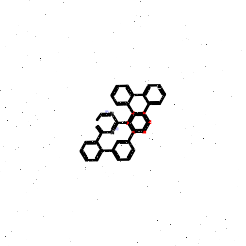 C=C(/N=C(\N=C/C)c1ccccc1)c1ccccc1-c1cccc(-c2ccc3c4ccccc4c4ccccc4c3c2)c1